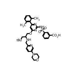 Cc1cccc(C)c1-c1cc(OCC(CC(C)(C)C)NCc2ccc(N3CCOCC3)cn2)nc(NS(=O)(=O)c2cccc(C(=O)O)c2)n1